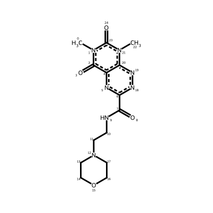 Cn1c(=O)c2nc(C(=O)NCCN3CCOCC3)nnc2n(C)c1=O